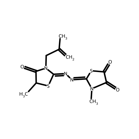 C=C(C)CN1C(=O)C(C)SC1=NN=C1SC(=O)C(=O)N1C